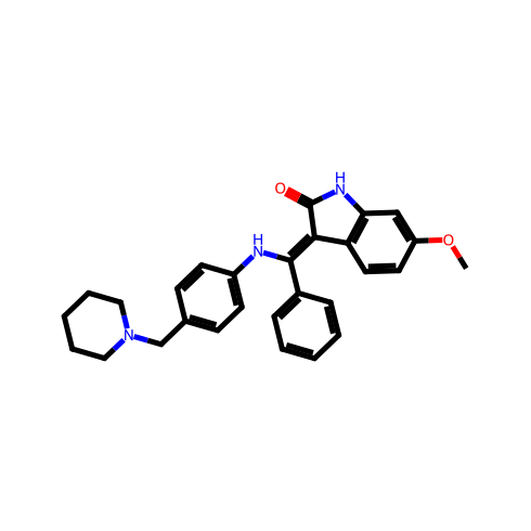 COc1ccc2c(c1)NC(=O)/C2=C(\Nc1ccc(CN2CCCCC2)cc1)c1ccccc1